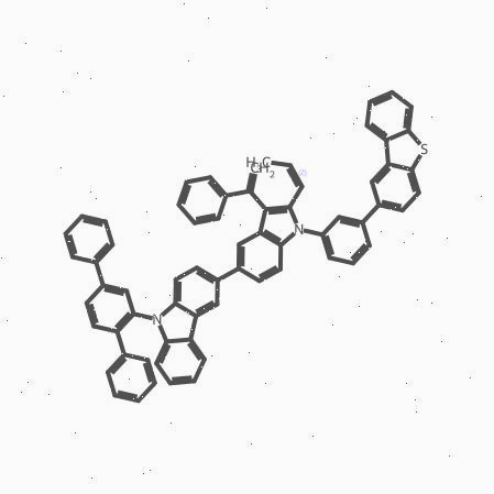 C=C(c1ccccc1)c1c(/C=C\C)n(-c2cccc(-c3ccc4sc5ccccc5c4c3)c2)c2ccc(-c3ccc4c(c3)c3ccccc3n4-c3cc(-c4ccccc4)ccc3-c3ccccc3)cc12